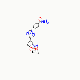 CS(=O)(=O)Nc1cccc(-c2cnn3c(-c4ccc(C(N)=O)cc4)cnc3c2)c1